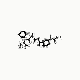 COC(=O)[C@H](CC(C)C)NC(=O)[C@H](Cc1ccccc1)NC(=O)CC1COc2ccc(NC(N)=O)cc21